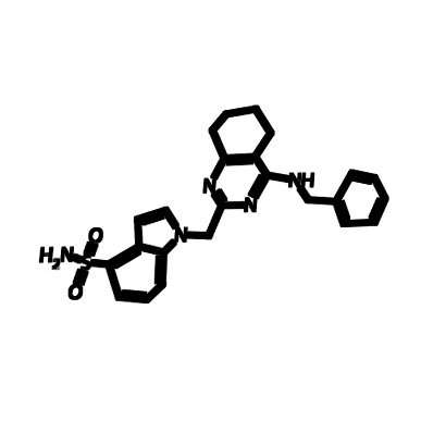 NS(=O)(=O)c1cccc2c1ccn2Cc1nc2c(c(NCc3ccccc3)n1)CCCC2